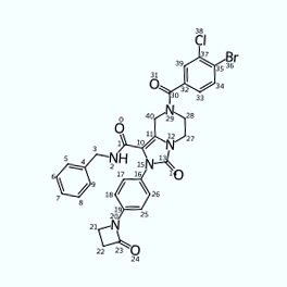 O=C(NCc1ccccc1)c1c2n(c(=O)n1-c1ccc(N3CCC3=O)cc1)CCN(C(=O)c1ccc(Br)c(Cl)c1)C2